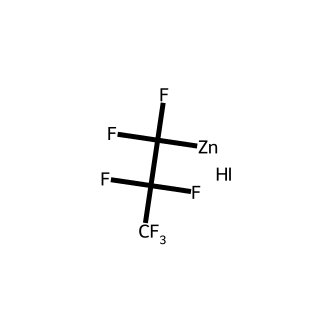 FC(F)(F)C(F)(F)[C](F)(F)[Zn].I